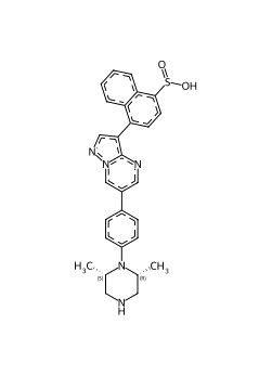 C[C@@H]1CNC[C@H](C)N1c1ccc(-c2cnc3c(-c4ccc(S(=O)O)c5ccccc45)cnn3c2)cc1